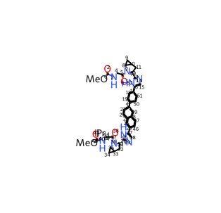 COC(=O)NCC(=O)N1C2CC2C[C@H]1c1ncc(-c2ccc(-c3ccc4cc(-c5cnc([C@@H]6CC7CC7N6C(=O)[C@@H](NC(=O)OC)C(C)C)[nH]5)ccc4c3)cc2)[nH]1